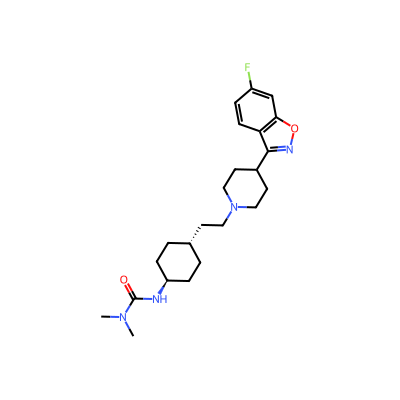 CN(C)C(=O)N[C@H]1CC[C@H](CCN2CCC(c3noc4cc(F)ccc34)CC2)CC1